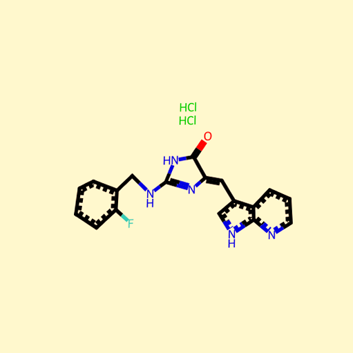 Cl.Cl.O=C1NC(NCc2ccccc2F)=NC1=Cc1c[nH]c2ncccc12